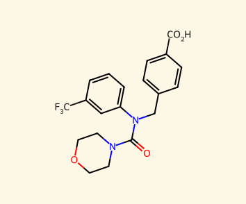 O=C(O)c1ccc(CN(C(=O)N2CCOCC2)c2cccc(C(F)(F)F)c2)cc1